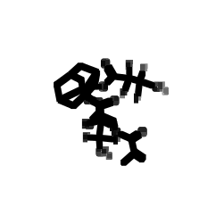 C=C(C)C(=O)OCC(=O)OC12CC3CC(C1)C(OC(=O)C(F)(F)C(F)(F)C(F)(F)F)(OC(=O)C(F)(F)C(F)(F)C(F)(F)F)C(C3)C2